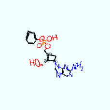 Nc1ncc2ncn([C@@H]3C[C@H](COP(=O)(O)Oc4ccccc4)[C@H]3CO)c2n1